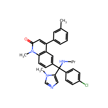 Cc1cccc(-c2cc(=O)n(C)c3ccc(C(NC(C)C)(c4ccc(Cl)cc4)c4cncn4C)cc23)c1